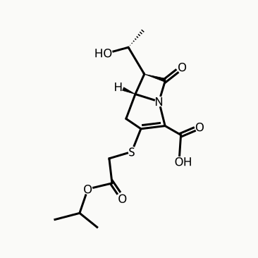 CC(C)OC(=O)CSC1=C(C(=O)O)N2C(=O)[C@H]([C@@H](C)O)[C@H]2C1